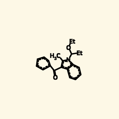 CCOC(CC)n1c(C)c(C(=O)c2ccccc2)c2ccccc21